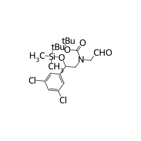 CC(C)(C)OC(=O)N(CC=O)CC(O[Si](C)(C)C(C)(C)C)c1cc(Cl)cc(Cl)c1